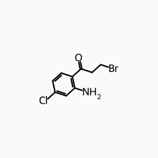 Nc1cc(Cl)ccc1C(=O)CCBr